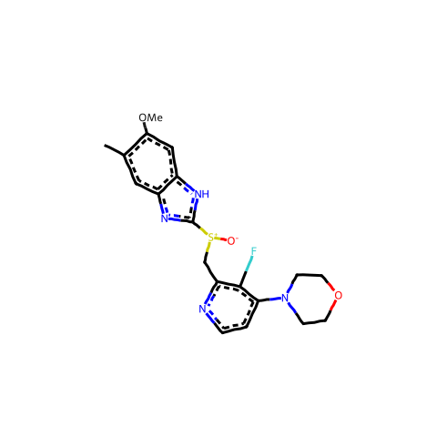 COc1cc2[nH]c([S+]([O-])Cc3nccc(N4CCOCC4)c3F)nc2cc1C